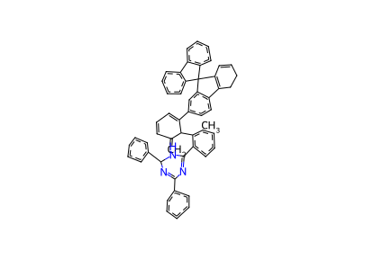 C=C1C=CC=C(c2ccc3c(c2)C2(C4=C3CCC=C4)c3ccccc3-c3ccccc32)C1c1c(C)cccc1C1=NC(c2ccccc2)=NC(c2ccccc2)N1